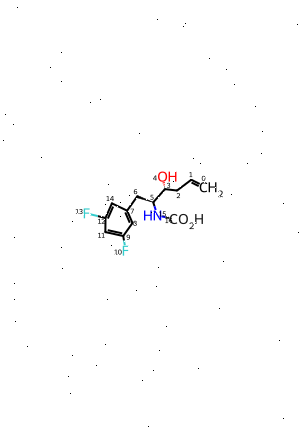 C=CC[C@@H](O)[C@H](Cc1cc(F)cc(F)c1)NC(=O)O